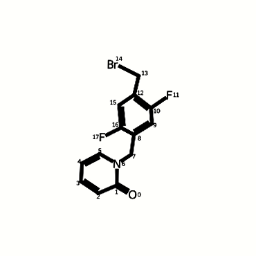 O=c1ccccn1Cc1cc(F)c(CBr)cc1F